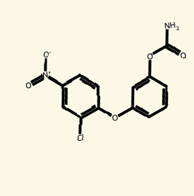 NC(=O)Oc1cccc(Oc2ccc([N+](=O)[O-])cc2Cl)c1